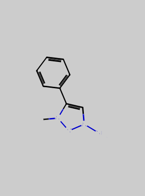 CCN1NN(N)C=C1c1ccccc1